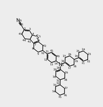 N#CC1=CC2SC3=C(CCC(C4=CCC(N(C5=CCC(C6=CCCCC6)CC5)C5=CCC(C6CCCCC6)CC5)C=C4)C3)C2CC1